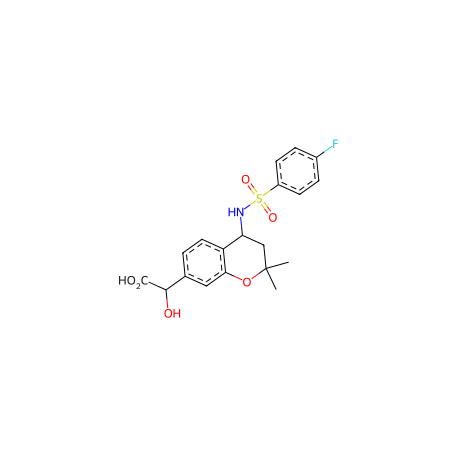 CC1(C)CC(NS(=O)(=O)c2ccc(F)cc2)c2ccc(C(O)C(=O)O)cc2O1